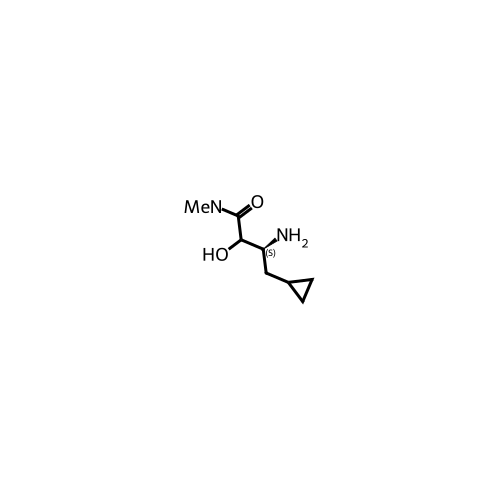 CNC(=O)C(O)[C@@H](N)CC1CC1